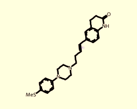 CSc1ccc(N2CCN(CC/C=C/c3ccc4c(c3)CCC(=O)N4)CC2)cc1